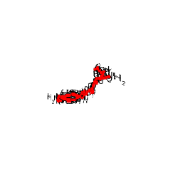 CC(C)[C@H](NC(=O)CCN1C(=O)C=CC1=O)C(=O)N[C@@H](CCCNC(N)=O)C(=O)Nc1ccc(COC(=O)N2C[C@@H](F)C[C@H]2COC(=O)Nc2ncnc3c2ncn3[C@@H]2O[C@@H]3CO[P@](=O)(S)O[C@H]4[C@@H](F)[C@H](n5cnc6c(N)ncnc65)O[C@@H]4CO[P@@](=O)(S)O[C@H]3[C@H]2F)cc1